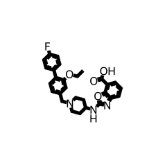 CCOc1cc(CN2CCC(Nc3nc4cccc(C(=O)O)c4o3)CC2)ccc1-c1ccc(F)cc1